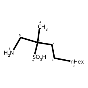 CCCCCCCCC(C)(CN)S(=O)(=O)O